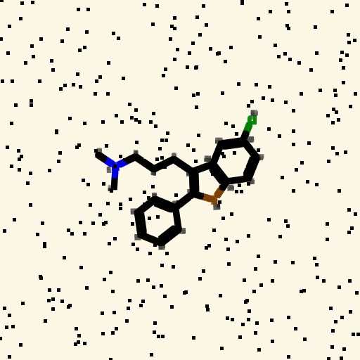 CN(C)CCCc1c(-c2ccccc2)sc2ccc(Cl)cc12